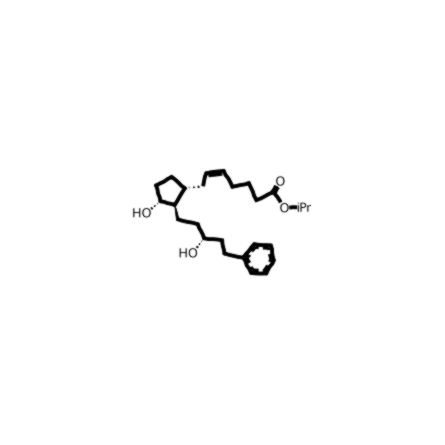 CC(C)OC(=O)CCC/C=C\C[C@H]1CC[C@@H](O)[C@@H]1CC[C@@H](O)CCc1ccccc1